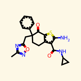 Cc1noc(CC2(c3ccccc3)CCc3c(sc(N)c3C(=O)NC3CC3)C2=O)n1